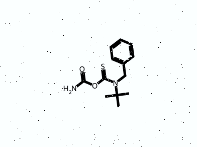 CC(C)(C)N(Cc1ccccc1)C(=S)OC(N)=O